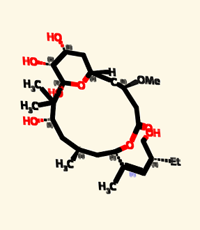 CC[C@H](/C=C(/C)[C@@H]1C[C@@H](C)C[C@H](O)C(C)(C)[C@@]2(O)O[C@@H](C[C@@H](OC)CC(=O)O1)C[C@@H](O)[C@H]2O)CO